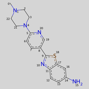 CN1CCN(c2ccc(-c3nc4ccc(N)cc4s3)cn2)CC1